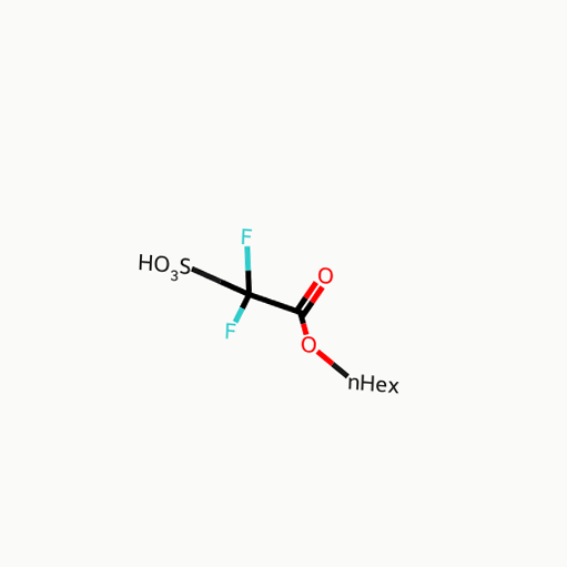 CCCCCCOC(=O)C(F)(F)S(=O)(=O)O